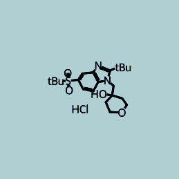 CC(C)(C)c1nc2cc(S(=O)(=O)C(C)(C)C)ccc2n1CC1(O)CCOCC1.Cl